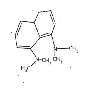 CN(C)C1=CC=CC2CC=CC(N(C)C)=C12